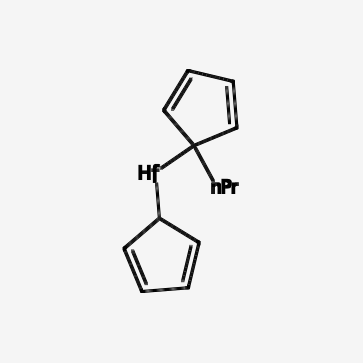 CCC[C]1([Hf][CH]2C=CC=C2)C=CC=C1